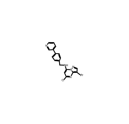 CC(C)c1cnn2c(NCc3ccc(-c4cccnc4)cc3)cc(Cl)nc12